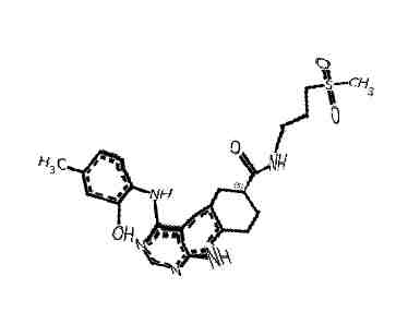 Cc1ccc(Nc2ncnc3[nH]c4c(c23)C[C@@H](C(=O)NCCCS(C)(=O)=O)CC4)c(O)c1